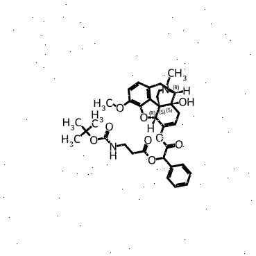 COc1ccc2c3c1O[C@H]1C(OC(=O)C(OC(=O)CCNC(=O)OC(C)(C)C)c4ccccc4)=CC[C@@]4(O)[C@@H](C2)N(C)CC[C@]314